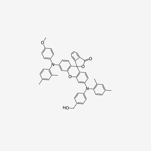 COc1ccc(N(c2ccc3c(c2)Oc2cc(N(c4ccc(CO)cc4)c4ccc(C)cc4C)ccc2C32OC(=O)c3ccccc32)c2ccc(C)cc2C)cc1